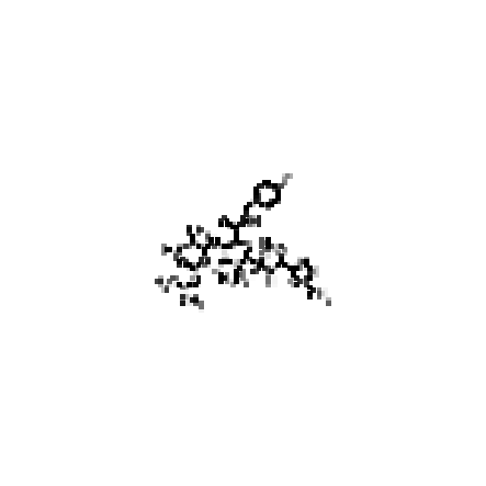 Cc1nnc(C(=O)NC(C)(C)c2nc(C(=O)NCc3ccc(F)cc3)c(OC(OC(=O)OC(C)C)C(C)C)c(=O)n2C)o1